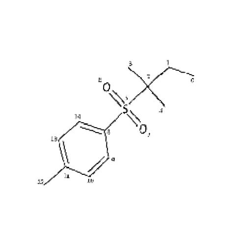 CCC(C)(C)S(=O)(=O)c1ccc(C)cc1